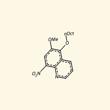 CCCCCCCCOc1c(OC)cc([N+](=O)[O-])c2ncccc12